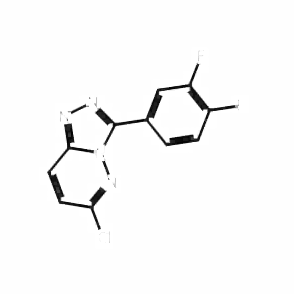 Fc1ccc(-c2nnc3ccc(Cl)nn23)cc1F